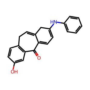 O=C1C2=CC=C(Nc3ccccc3)CC2=CCc2ccc(O)cc21